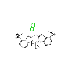 CC1=Cc2c(cccc2[Si](C)(C)C)[CH]1[Hf+2]1([CH]2C(C)=Cc3c2cccc3[Si](C)(C)C)[CH2][CH2]1.[Cl-].[Cl-]